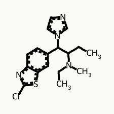 CCC(C(c1ccc2nc(Cl)sc2c1)n1ccnc1)N(C)CC